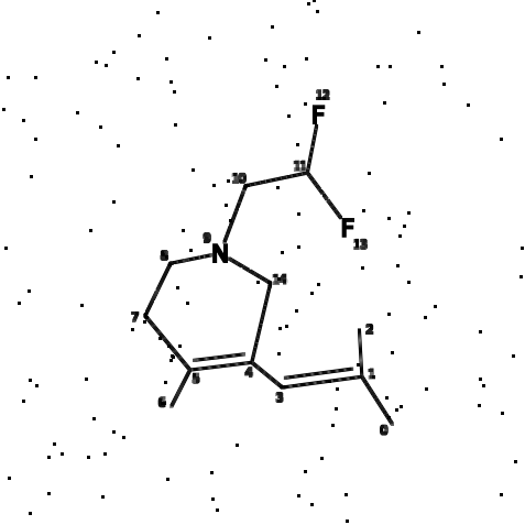 CC(C)=CC1=C(C)CCN(CC(F)F)C1